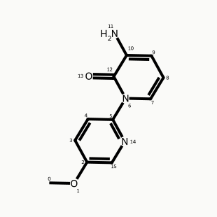 COc1ccc(-n2cccc(N)c2=O)nc1